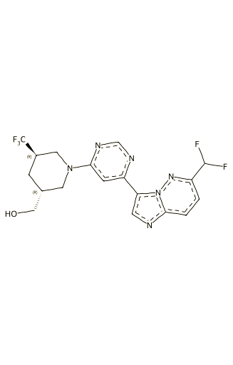 OC[C@@H]1C[C@@H](C(F)(F)F)CN(c2cc(-c3cnc4ccc(C(F)F)nn34)ncn2)C1